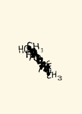 CCOc1ccc(-c2ccc(C3CCC(OCc4ccc(C(C)O)c(F)c4F)CC3)cc2F)c(F)c1F